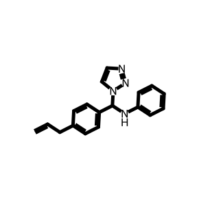 C=CCc1ccc(C(Nc2ccccc2)n2ccnn2)cc1